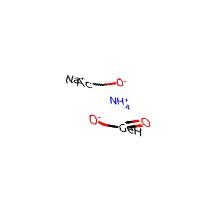 CC(=O)[O-].[NH4+].[Na+].[O]=[GeH][O-]